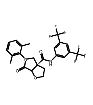 Cc1cccc(C)c1N1C[C@]2(C(=O)Nc3cc(C(F)(F)F)cc(C(F)(F)F)c3)CCOC2C1=O